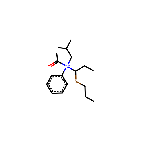 CCCSC(CC)[N+](CC(C)C)(C(C)=O)c1ccccc1